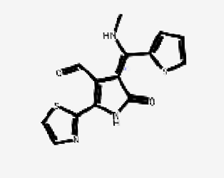 CN/C(=C1/C(=O)NC(c2nccs2)=C1C=O)c1cccs1